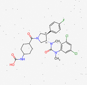 CN(C(=O)N(C)[C@@H]1CN(C(=O)C2CCC(NC(=O)O)CC2)C[C@H]1c1ccc(F)cc1)c1cc(Cl)cc(Cl)c1